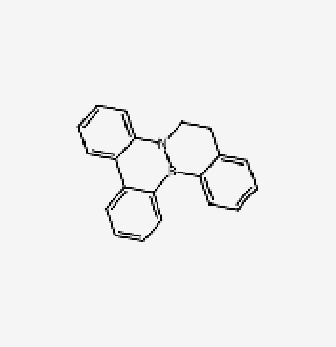 c1ccc2c(c1)CCN1B2c2ccccc2-c2ccccc21